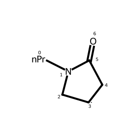 CCCN1C[CH]CC1=O